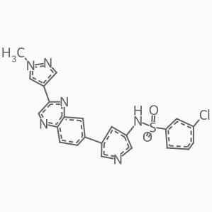 Cn1cc(-c2cnc3ccc(-c4cncc(NS(=O)(=O)c5cccc(Cl)c5)c4)cc3n2)cn1